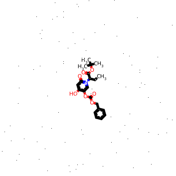 CCC(C(=O)OC(C)(C)C)n1cc(OC(=O)OCc2ccccc2)c(O)cc1=O